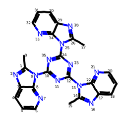 Cc1nc2cccnc2n1-c1nc(-n2c(C)nc3cccnc32)nc(-n2c(C)nc3cccnc32)n1